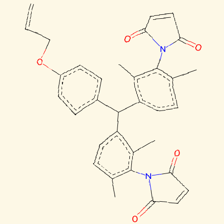 C=CCOc1ccc(C(c2ccc(C)c(N3C(=O)C=CC3=O)c2C)c2ccc(C)c(N3C(=O)C=CC3=O)c2C)cc1